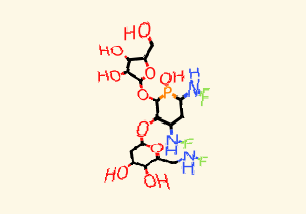 OCC1OC(OC2C(OC3CC(O)C(O)C(CNF)O3)C(NF)CC(NF)P2O)C(O)C1O